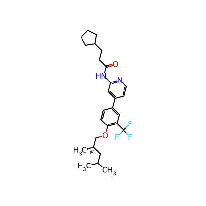 CC(C)C[C@@H](C)COc1ccc(-c2ccnc(NC(=O)CCC3CCCC3)c2)cc1C(F)(F)F